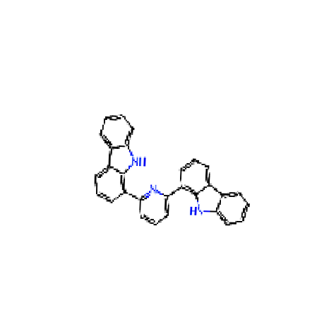 c1cc(-c2cccc3c2[nH]c2ccccc23)nc(-c2cccc3c2[nH]c2ccccc23)c1